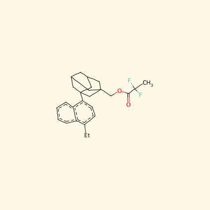 CCc1ccc(C23CC4CC(CC(COC(=O)C(C)(F)F)(C4)C2)C3)c2ccccc12